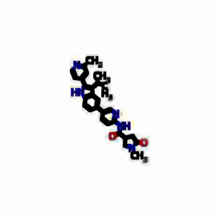 Cc1cc(-c2[nH]c3ccc(-c4ccc(NC(=O)C5CC(=O)N(C)C5)nc4)cc3c2C(C)C)ccn1